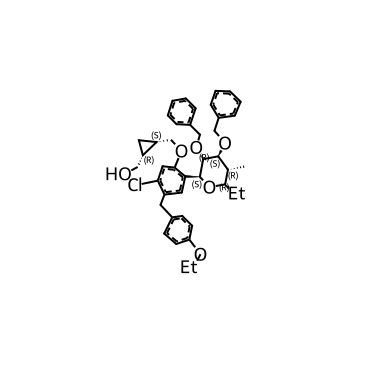 CCOc1ccc(Cc2cc([C@@H]3O[C@H](CC)[C@@H](C)[C@H](OCc4ccccc4)[C@H]3OCc3ccccc3)c(OC[C@H]3C[C@H]3CO)cc2Cl)cc1